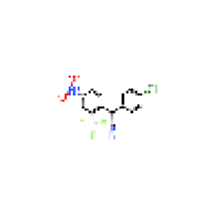 N#CC(c1ccc(Cl)cc1)c1ccc([N+](=O)[O-])cc1C(F)(F)F